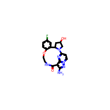 Nc1nn2ccc3nc2c1C(=O)NCCOc1ccc(F)cc1C1CC(O)CN31